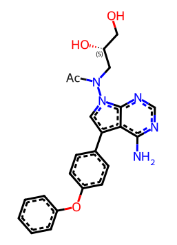 CC(=O)N(C[C@H](O)CO)n1cc(-c2ccc(Oc3ccccc3)cc2)c2c(N)ncnc21